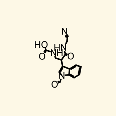 N#CCNC(=O)C(CNC(=O)O)c1cn(C=O)c2ccccc12